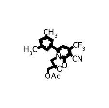 CC(=O)OCC(=O)Cn1c(-c2cc(C)cc(C)c2)cc(C(F)(F)F)c(C#N)c1=O